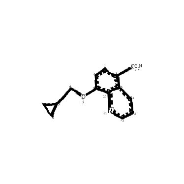 O=C(O)c1ccc(OCC2CC2)c2ncccc12